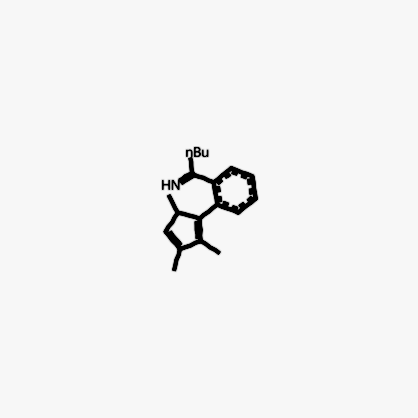 CCCCC(=N)c1ccccc1C1=C(C)C(C)=CC1C